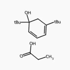 CC(C)(C)C1=CC=CC(O)(C(C)(C)C)C1.CCC(=O)O